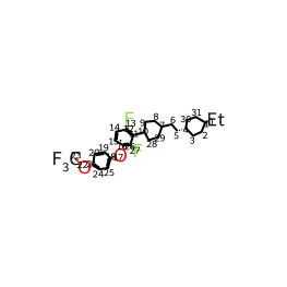 CC[C@H]1CC[C@H](CCC2CCC(c3c(F)c[c]c(Oc4ccc(OC(F)(F)F)cc4)c3F)CC2)CC1